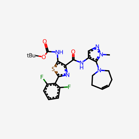 Cn1ncc(NC(=O)c2nc(-c3c(F)cccc3F)sc2NC(=O)OC(C)(C)C)c1N1CCC=CCC1